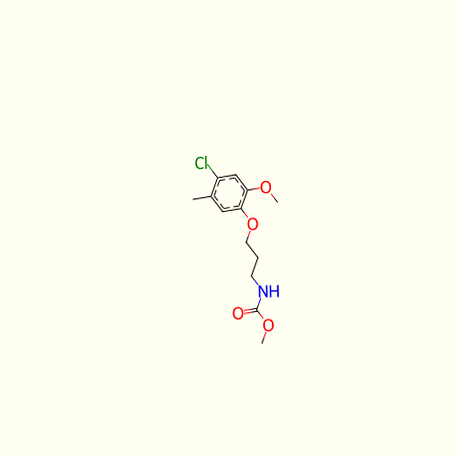 COC(=O)NCCCOc1cc(C)c(Cl)cc1OC